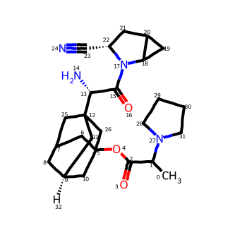 CC(C(=O)OC12CC3C[C@H](C1)CC([C@H](N)C(=O)N1C4CC4C[C@H]1C#N)(C3)C2)N1CCCC1